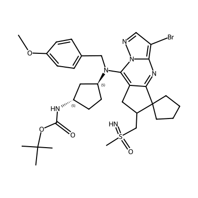 COc1ccc(CN(c2c3c(nc4c(Br)cnn24)C2(CCCC2)C(CS(C)(=N)=O)C3)[C@H]2CC[C@H](NC(=O)OC(C)(C)C)C2)cc1